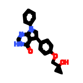 O=c1[nH]cnc2c1c(-c1ccc(OCC3(O)CC3)cc1)cn2-c1ccccc1